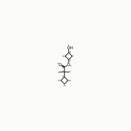 CC(C)(C(=O)OC1CC(O)C1)C1CCC1